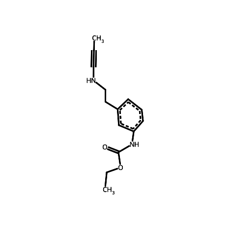 CC#CNCCc1cccc(NC(=O)OCC)c1